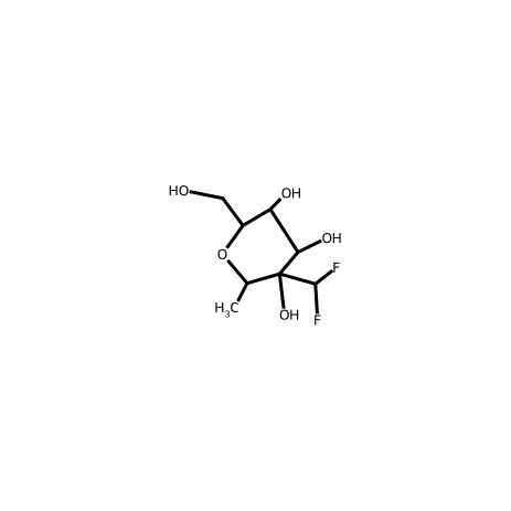 CC1OC(CO)C(O)C(O)C1(O)C(F)F